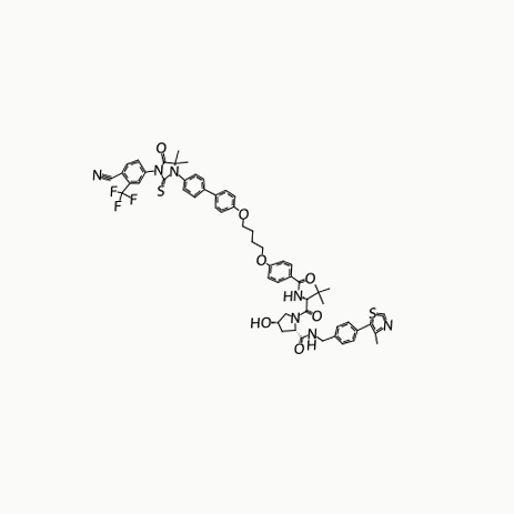 Cc1ncsc1-c1ccc(CNC(=O)[C@@H]2C[C@@H](O)CN2C(=O)[C@@H](NC(=O)c2ccc(OCCCCOc3ccc(-c4ccc(N5C(=S)N(c6ccc(C#N)c(C(F)(F)F)c6)C(=O)C5(C)C)cc4)cc3)cc2)C(C)(C)C)cc1